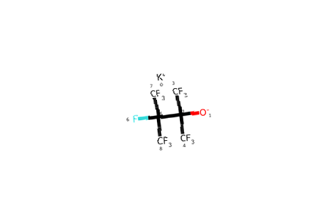 [K+].[O-]C(C(F)(F)F)(C(F)(F)F)C(F)(C(F)(F)F)C(F)(F)F